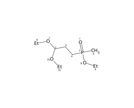 CCOC(CCP(C)(=O)OCC)OCC